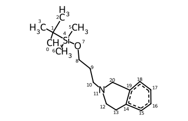 CC(C)(C)[Si](C)(C)OCCCN1CCc2ccccc2C1